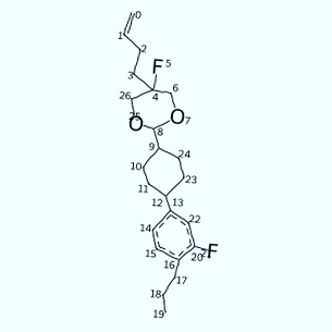 C=CCCC1(F)COC(C2CCC(c3ccc(CCC)c(F)c3)CC2)OC1